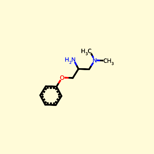 CN(C)CC(N)COc1ccccc1